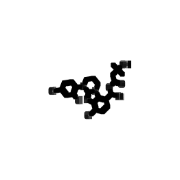 CCC(OC(=O)CC(C)(C)O)c1ccc(Cl)c2nc3n(c12)CCCN3c1ccc(Cl)cc1Cl